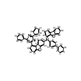 c1ccc(-c2ccc(N(c3ccc4c(c3)oc3cccc(-c5nc(-c6ccccc6)nc(-c6ccccc6)n5)c34)c3cccc4c3oc3ccccc34)cc2)cc1